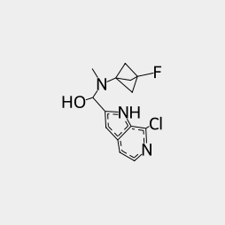 CN(C(O)c1cc2ccnc(Cl)c2[nH]1)C12CC(F)(C1)C2